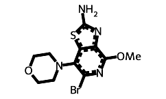 COc1nc(Br)c(N2CCOCC2)c2sc(N)nc12